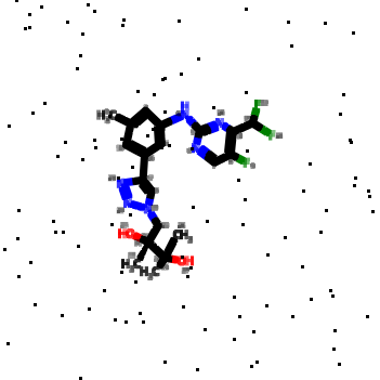 Cc1cc(Nc2ncc(F)c(C(F)F)n2)cc(-c2cn(C[C@@](C)(O)C(C)(C)O)nn2)c1